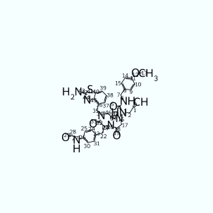 C#CCN(C(=O)NCc1ccc(OC)cc1)N1CC(=O)N2[C@@H](Cc3ccc(NC=O)cc3)C(=O)N(Cc3cccc4sc(N)nc34)C[C@@H]21